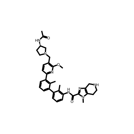 COc1nc(-c2cccc(-c3cccc(NC(=O)c4nc5c(n4C)CCNC5)c3C)c2C)ccc1CN1CC[C@@H](NC(C)=O)C1